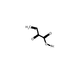 C=CC(=O)C(=O)OC(C)=O